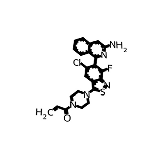 C=CC(=O)N1CCN(c2snc3c(F)c(-c4nc(N)cc5ccccc45)c(Cl)cc23)CC1